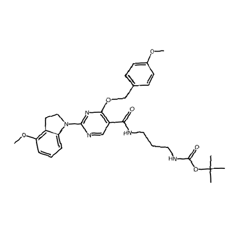 COc1ccc(COc2nc(N3CCc4c(OC)cccc43)ncc2C(=O)NCCCNC(=O)OC(C)(C)C)cc1